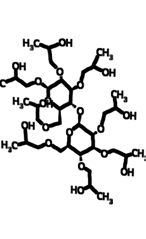 CC(O)COC[C@H]1O[C@@H](O[C@H]2[C@H](OCC(C)O)[C@@H](OCC(C)O)[C@H](OCC(C)O)O[C@@H]2COCC(C)O)[C@H](OCC(C)O)[C@@H](OCC(C)O)[C@@H]1OCC(C)O